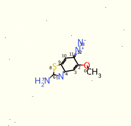 COC1=CC2=NC(N)SC2=CC1=[N+]=[N-]